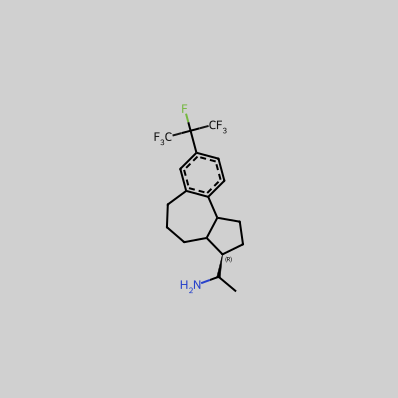 CC(N)[C@@H]1CCC2c3ccc(C(F)(C(F)(F)F)C(F)(F)F)cc3CCCC21